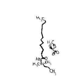 CCCCCCCCCCCC(=O)N[N+](C)(C)CCC.COS(=O)(=O)[O-]